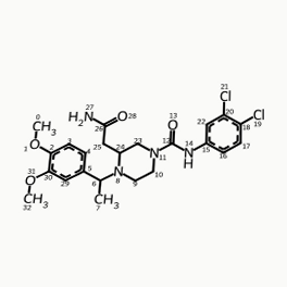 COc1ccc(C(C)N2CCN(C(=O)Nc3ccc(Cl)c(Cl)c3)CC2CC(N)=O)cc1OC